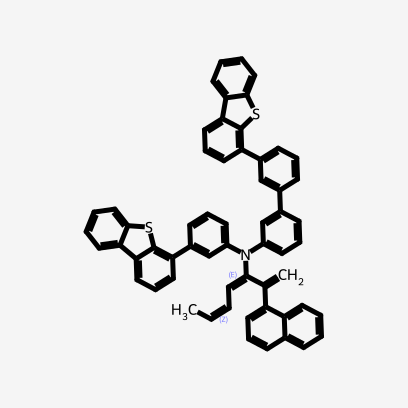 C=C(/C(=C\C=C/C)N(c1cccc(-c2cccc(-c3cccc4c3sc3ccccc34)c2)c1)c1cccc(-c2cccc3c2sc2ccccc23)c1)c1cccc2ccccc12